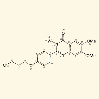 COc1cc2nc(-c3ccc(OCCCCl)cc3)n(C)c(=O)c2cc1OC